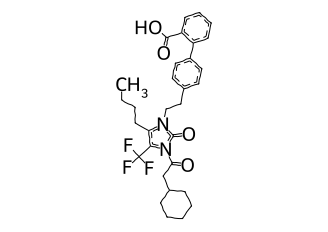 CCCCc1c(C(F)(F)F)n(C(=O)CC2CCCCC2)c(=O)n1CCc1ccc(-c2ccccc2C(=O)O)cc1